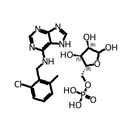 Cc1cccc(Cl)c1CNc1ncnc2nc[nH]c12.O=P(O)(O)OC[C@H]1OC(O)[C@H](O)[C@@H]1O